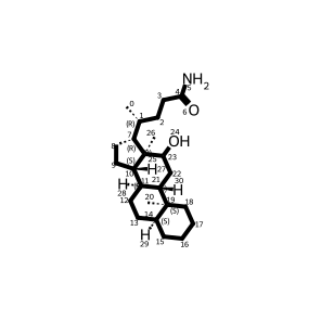 C[C@H](CCC(N)=O)[C@H]1CC[C@H]2[C@@H]3CC[C@@H]4CCCC[C@]4(C)[C@H]3CC(O)[C@]12C